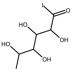 CC(O)C(O)C(O)C(O)C(=O)I